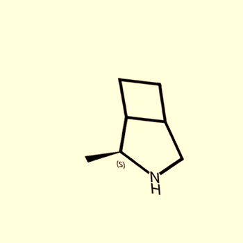 C[C@@H]1NCC2CCC21